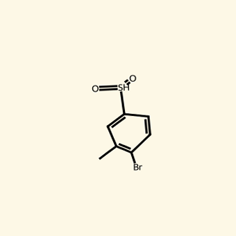 Cc1cc([SH](=O)=O)ccc1Br